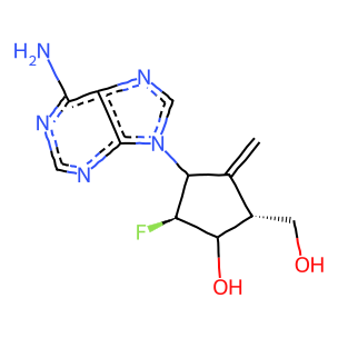 C=C1C(n2cnc3c(N)ncnc32)[C@H](F)C(O)[C@H]1CO